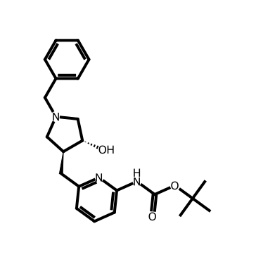 CC(C)(C)OC(=O)Nc1cccc(C[C@H]2CN(Cc3ccccc3)C[C@@H]2O)n1